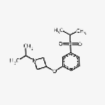 CC(C)N1CC(Oc2cccc(S(=O)(=O)C(C)C)c2)C1